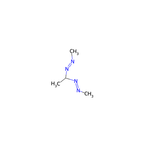 CN=NC(C)N=NC